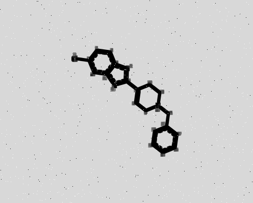 Clc1ccc2sc(C3=CCN(Cc4ccccc4)CC3)nc2c1